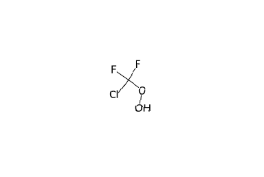 OOC(F)(F)Cl